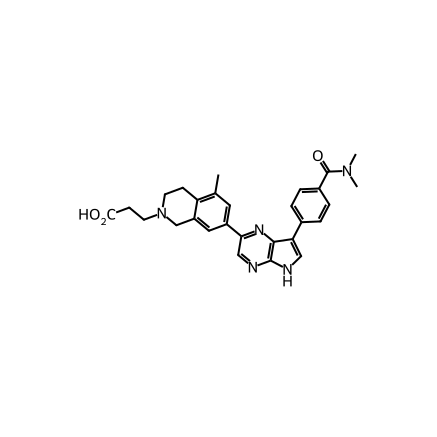 Cc1cc(-c2cnc3[nH]cc(-c4ccc(C(=O)N(C)C)cc4)c3n2)cc2c1CCN(CCC(=O)O)C2